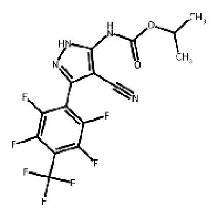 CC(C)OC(=O)Nc1[nH]nc(-c2c(F)c(F)c(C(F)(F)F)c(F)c2F)c1C#N